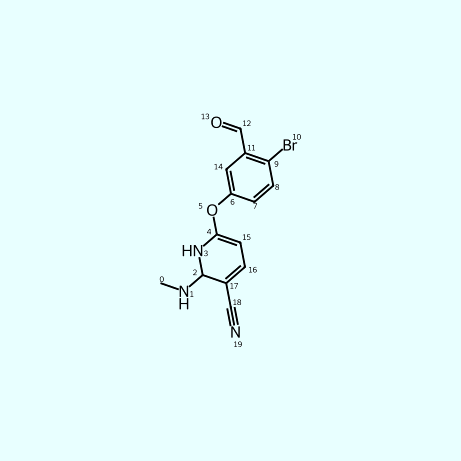 CNC1NC(Oc2ccc(Br)c(C=O)c2)=CC=C1C#N